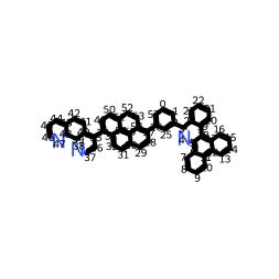 c1cc(-c2nc3c4ccccc4c4ccccc4c3c3ccccc23)cc(-c2ccc3ccc4c(-c5ccnc6c5ccc5cccnc56)ccc5ccc2c3c54)c1